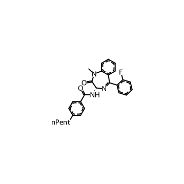 CCCCCc1ccc(C(=O)N[C@H]2N=C(c3ccccc3F)c3ccccc3N(C)C2=O)cc1